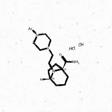 CC(=O)N1CCN(CCN2[C@@H]3C[CH]C[C@@]2(C(N)=O)CC3)CC1.Cl.Cl